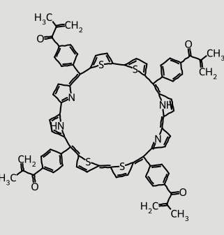 C=C(C)C(=O)c1ccc(-c2c3nc(c4ccc([nH]4)c(-c4ccc(C(=O)C(=C)C)cc4)c4ccc(s4)c4ccc(s4)c(-c4ccc(C(=O)C(=C)C)cc4)c4nc(c5ccc([nH]5)c(-c5ccc(C(=O)C(=C)C)cc5)c5ccc(s5)c5ccc2s5)C=C4)C=C3)cc1